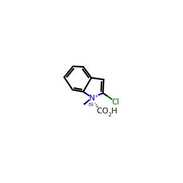 C[N@+]1(C(=O)O)C(Cl)=Cc2ccccc21